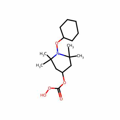 CC1(C)CC(OC(=O)OO)CC(C)(C)N1OC1CCCCC1